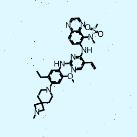 C=Cc1cnc(Nc2cc(CC)c(N3CCC4(CC3)CN(C)C4)cc2OC)nc1Nc1ccc2nccnc2c1N(C)S(C)(=O)=O